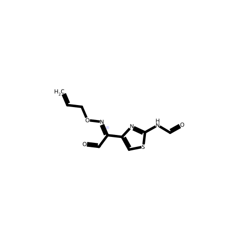 C=CCO/N=C(\[C]=O)c1csc(NC=O)n1